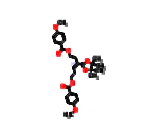 COc1ccc(C(=O)OCC/C=C(/CCOC(=O)c2ccc(OC)cc2)B2OC(C)(C)C(C)(C)O2)cc1